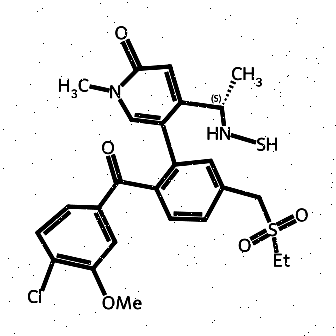 CCS(=O)(=O)Cc1ccc(C(=O)c2ccc(Cl)c(OC)c2)c(-c2cn(C)c(=O)cc2[C@H](C)NS)c1